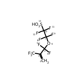 C=C(C(F)(F)F)C(F)(F)OC(F)(F)C(F)(F)S(=O)(=O)O